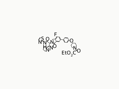 CCOC(=O)C(=O)N1CCC(Oc2ccc(-c3cc(F)c4c(c3)C(=O)N(C(C(=O)Nc3nccs3)c3ncn5c3CCC5)C4)cc2)CC1